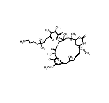 COc1cc2cc(c1Cl)N(C)C(=O)C[C@H](OC(=O)[C@H](C)N(C)C(=O)CCC(C)(C)SSCCN)C(C)(C)O[C@H](C)[C@@H]1C[C@@](O)(NC(=O)O1)[C@H](OC)/C=C/C=C(\C)C2